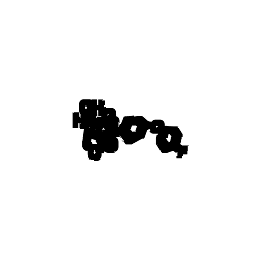 O=C(NO)[C@@]1(S(=O)(=O)c2ccc(Oc3ccc(F)cc3)cc2)CCOC1